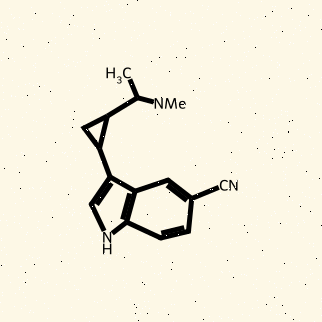 CNC(C)C1CC1c1c[nH]c2ccc(C#N)cc12